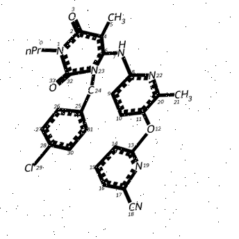 CCCn1c(=O)c(C)c(Nc2ccc(Oc3cccc(C#N)n3)c(C)n2)n(Cc2ccc(Cl)cc2)c1=O